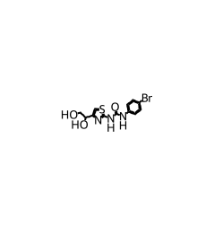 O=C(Nc1ccc(Br)cc1)Nc1nc(C(O)CO)cs1